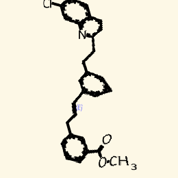 COC(=O)c1cccc(C/C=C/c2cccc(CCc3ccc4ccc(Cl)cc4n3)c2)c1